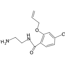 C=CCOc1cc(Cl)ccc1C(=O)NCCN